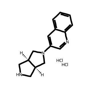 Cl.Cl.c1ccc2ncc(N3C[C@H]4CNC[C@H]4C3)cc2c1